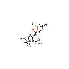 CCSc1cc(C(F)(F)F)ccc1C(=O)Nc1ccc(C(F)(C(F)(F)F)C(F)(F)F)cc1C(=O)OC